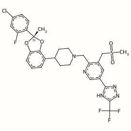 C[C@]1(c2ccc(Cl)cc2F)Oc2cccc(C3CCN(Cc4ncc(-c5nnc(C(F)(F)F)[nH]5)cc4CS(C)(=O)=O)CC3)c2O1